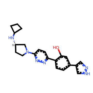 Oc1cc(-c2cn[nH]c2)ccc1-c1ccc(N2CC[C@H](NC3CCC3)C2)nn1